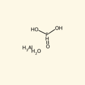 O.O=[PH](O)O.[AlH3]